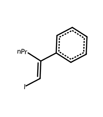 CCCC(=CI)c1ccccc1